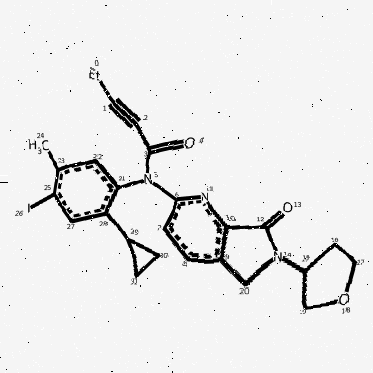 CCC#CC(=O)N(c1ccc2c(n1)C(=O)N(C1CCOC1)C2)c1cc(C)c(I)cc1C1CC1